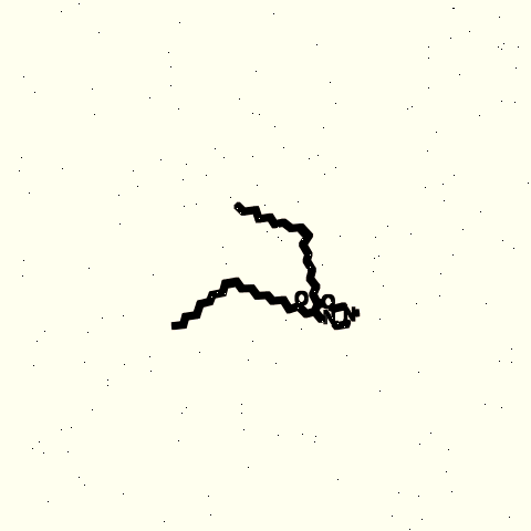 CCCCCCCC/C=C\CCCCCCCC(=O)CC(CN1CCN(C)CC1)C(=O)CCCCCCC/C=C\CCCCCCCC